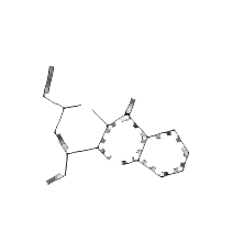 C=CC1=CC(C=C)Sc2c1oc1ccccc1c2=O